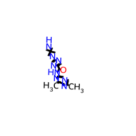 Cc1cn2cc(NC(=O)c3cnc(N4CC5(CNC5)C4)cn3)nc(C)c2n1